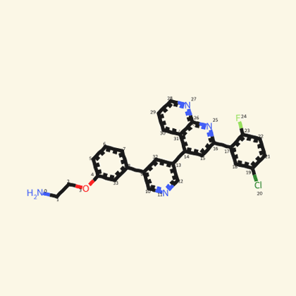 NCCOc1cccc(-c2cncc(-c3cc(-c4cc(Cl)ccc4F)nc4ncccc34)c2)c1